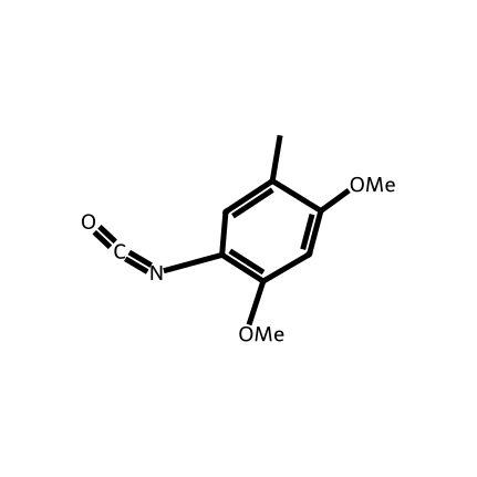 COc1cc(OC)c(N=C=O)cc1C